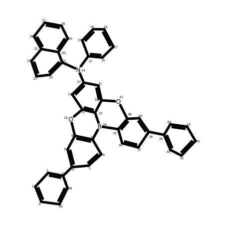 c1ccc(-c2ccc3c(c2)Oc2cc(N(c4ccccc4)c4cccc5ccccc45)cc4c2B3c2ccc(-c3ccccc3)cc2O4)cc1